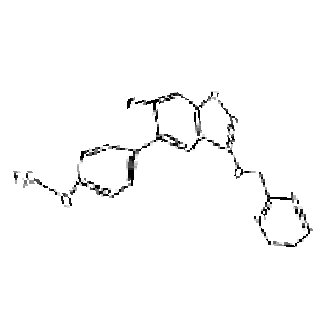 Fc1cc2onc(OCc3ncccn3)c2cc1-c1ccc(OC(F)(F)F)cc1